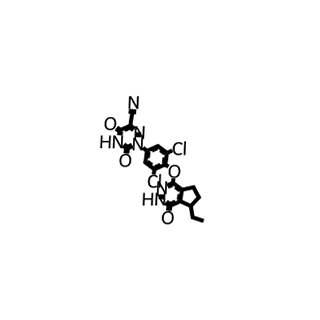 CCC1CCc2c(Oc3c(Cl)cc(-n4nc(C#N)c(=O)[nH]c4=O)cc3Cl)n[nH]c(=O)c21